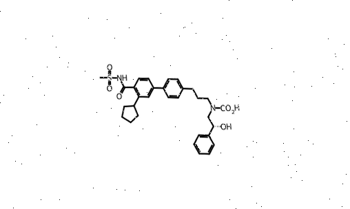 CS(=O)(=O)NC(=O)c1ccc(-c2ccc(CCCN(C[C@H](O)c3ccccc3)C(=O)O)cc2)cc1C1CCCC1